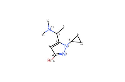 CC(c1cc(Br)nn1C1CC1)N(C)C